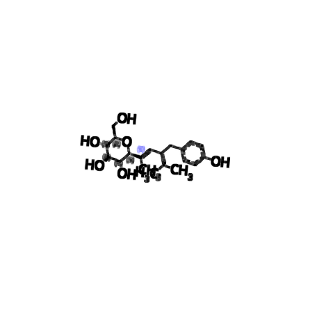 CC(C)=C(/C=C(\C)[C@@H]1O[C@H](CO)[C@@H](O)[C@H](O)[C@H]1O)Cc1ccc(O)cc1